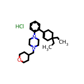 CCC1(CC)CC=C(c2ccccc2N2CCN(CC3CCOCC3)CC2)CC1.Cl